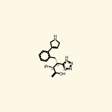 C=C(O)[C@@H](C(C)C)[C@H](Cc1ccccc1C1=CCNC1)c1nnn[nH]1